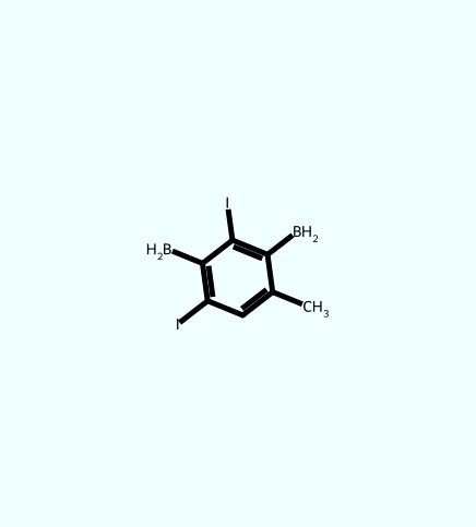 Bc1c(C)cc(I)c(B)c1I